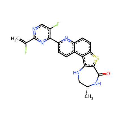 C=C(F)c1ncc(F)c(-c2ccc3c(ccc4sc5c(c43)NC[C@@H](C)NC5=O)n2)n1